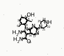 Cc1ccc(O)c(C)c1-n1c(N)c(C(N)=O)c2cnc(N3CCNCC3)nc21